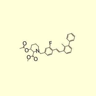 COC(=O)C1C(OC(C)=O)CCCN1Cc1ccc(/C=C/c2cccc(-c3ccccc3)c2C)c(F)c1